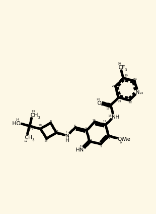 COC1=CC(=N)/C(=C\NC2CC(C(C)(C)O)C2)C=C1NC(=O)c1cncc(C(F)(F)F)c1